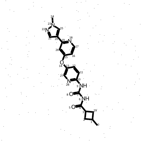 CC1CC(C(=O)NC(=O)Nc2ccc(Oc3ccnc(-c4cnn(C)c4)c3)cn2)C1